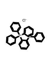 [Cl-].c1ccc(Oc2ccccc2[P+](c2ccccc2)(c2ccccc2)c2ccccc2)cc1